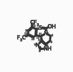 OC(=S)N1CCc2[nH]cnc2C1c1cc(C(F)(F)F)cc(C(F)(F)F)c1